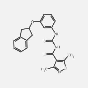 Cc1noc(C)c1C(=O)NC(=S)Nc1cccc(OC2Cc3ccccc3C2)c1